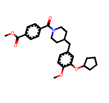 COC(=O)c1ccc(C(=O)N2CCC(Cc3ccc(OC)c(OC4CCCC4)c3)CC2)cc1